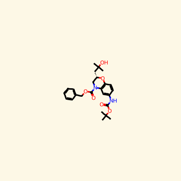 CC(C)(O)C[C@H]1CN(C(=O)OCc2ccccc2)c2cc(NC(=O)OC(C)(C)C)ccc2O1